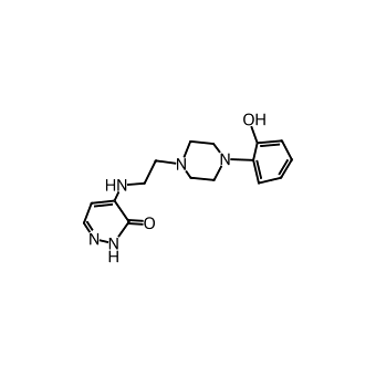 O=c1[nH]nccc1NCCN1CCN(c2ccccc2O)CC1